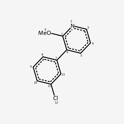 COc1ncccc1-c1cccc(Cl)c1